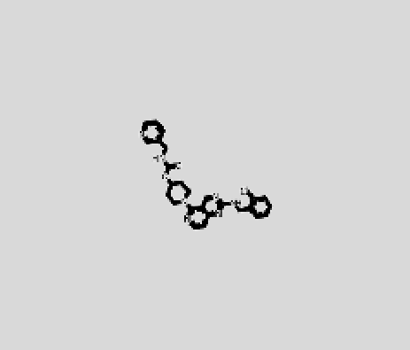 O=C(NCc1cccnc1)OC1CCN(c2nccc3nc(NCc4ccccc4Cl)ncc23)CC1